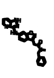 CN(Cc1ccccc1)C(=O)Cc1noc2cc(Nc3n[nH]c4cccnc34)ccc12